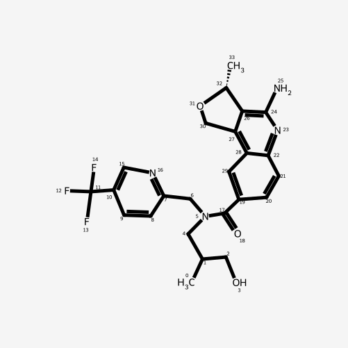 CC(CO)CN(Cc1ccc(C(F)(F)F)cn1)C(=O)c1ccc2nc(N)c3c(c2c1)CO[C@@H]3C